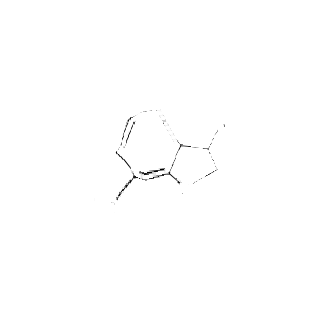 O=C(O)c1cccc2c1OCC2Br